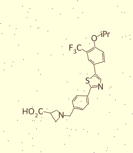 CC(C)Oc1ccc(-c2cnc(-c3ccc(CN4CC(C(=O)O)C4)cc3)s2)cc1C(F)(F)F